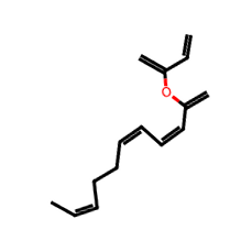 C=CC(=C)OC(=C)/C=C\C=C/CC/C=C\C